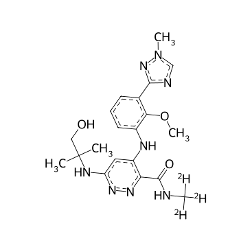 [2H]C([2H])([2H])NC(=O)c1nnc(NC(C)(C)CO)cc1Nc1cccc(-c2ncn(C)n2)c1OC